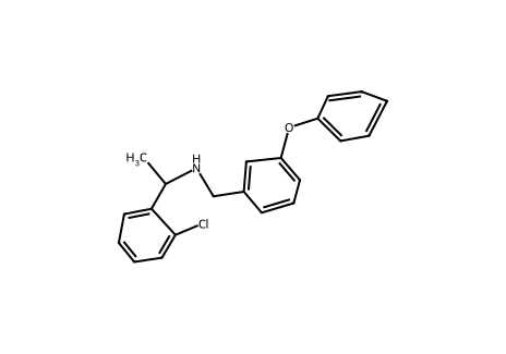 CC(NCc1cccc(Oc2ccccc2)c1)c1ccccc1Cl